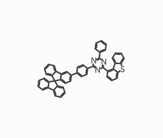 c1ccc(-c2nc(-c3ccc(-c4ccc5c(c4)-c4ccccc4C54c5ccccc5-c5ccccc54)cc3)nc(-c3cccc4sc5ccccc5c34)n2)cc1